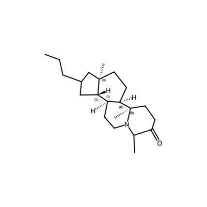 CCCC1C[C@H]2[C@@H]3CCN4C(C)C(=O)CC[C@]4(C)[C@@H]3CC[C@]2(C)C1